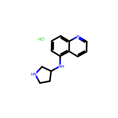 Cl.c1cc(NC2CCNC2)c2cccnc2c1